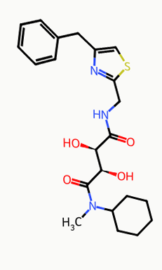 CN(C(=O)[C@H](O)[C@@H](O)C(=O)NCc1nc(Cc2ccccc2)cs1)C1CCCCC1